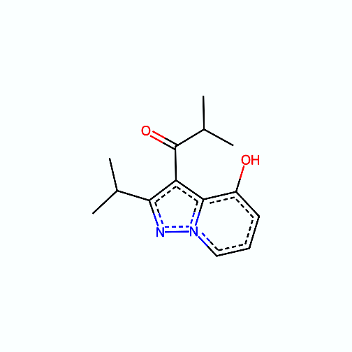 CC(C)C(=O)c1c(C(C)C)nn2cccc(O)c12